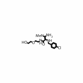 CN/C(N)=C(/NCc1ccc(Cl)cc1)C(=O)NCCOCCO